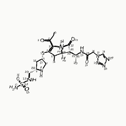 CC(=O)C1=C(S[C@@H]2CN[C@H](CNS(N)(=O)=O)C2)C(C)[C@@H]2[C@@H]([C@@H](C)NC(=O)Cn3cnnn3)C(=O)N12